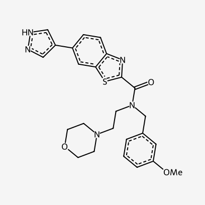 COc1cccc(CN(CCN2CCOCC2)C(=O)c2nc3ccc(-c4cn[nH]c4)cc3s2)c1